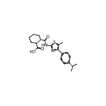 Cc1sc(NC(=O)C2CCCCC2C(=O)O)nc1-c1ccc(C(C)C)cc1